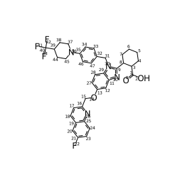 O=C(O)C1CCCCC1c1nc2cc(OCc3ccc4cc(F)ccc4n3)ccc2n1Cc1ccc(N2CCC(C(F)(F)F)CC2)cc1